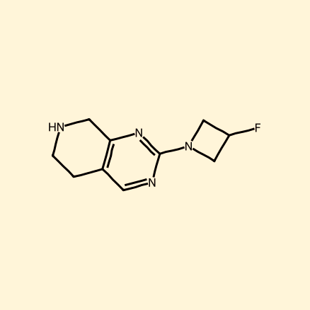 FC1CN(c2ncc3c(n2)CNCC3)C1